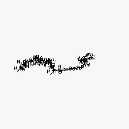 C=CN(C)/C(=C\NC(=O)c1nc(NC(=O)CCNC(=O)c2cc(NC(=O)c3nccn3C)cn2C)cn1C)C(=O)NCCC(=O)Nc1cn(C)c(C(=O)NCCC(=O)NCCCN(C)CCCNC(=O)CCOCCOCCOCCOCCOCCOc2ccc(NC(=O)C[C@H]3N=C(c4ccc(Cl)cc4)c4cc(OC)ccc4N(C(C)=N)C3=N)cc2)n1